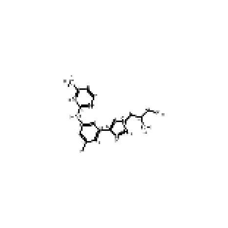 Cc1cc(Nc2nccc(C(F)(F)F)n2)cc(-c2cn(CC(O)CF)nn2)c1